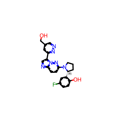 OCc1cnnc(-c2cnc3ccc(N4CCC[C@@H]4c4cc(F)ccc4O)nn23)c1